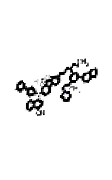 C=CCC(CCCC1=CC2=C(CC1)C1=CC=C(N(c3ccc(-c4ccccc4)cc3)c3ccc(C#N)c4ccccc34)CC1C2(C)C)C1=CC(CC/C=c2/ccccc2=C)=CC(C2CCc3ccccc3C2)C1